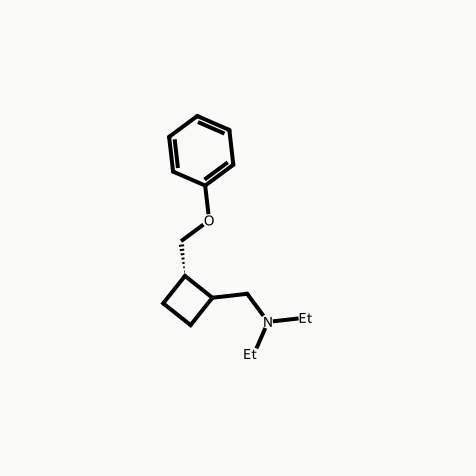 CCN(CC)CC1CC[C@@H]1COc1ccccc1